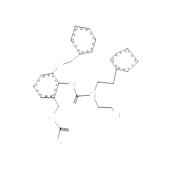 CCC(=O)OCc1cccc(SCc2ccccc2)c1NC(=O)N(CCO)CCc1ccccc1